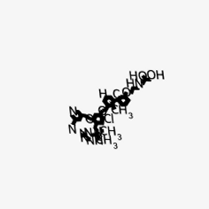 Cc1c(COc2cc(OCc3cncc(C#N)c3)c(CN(C)C(C)c3nnn[nH]3)cc2Cl)cccc1-c1cccc(OCCCNCC(O)CO)c1C